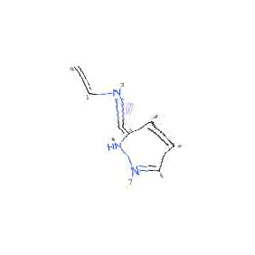 C=C/N=c1/cccn[nH]1